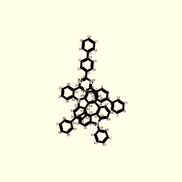 c1ccc(-c2ccc(-c3nc(-c4ccc(-c5ccccc5)cc4)nc(-c4ccccc4-n4c5cc(-c6ccccc6)ccc5c5c(-c6cccc7c6c6ccccc6n7-c6ccccc6)cccc54)n3)cc2)cc1